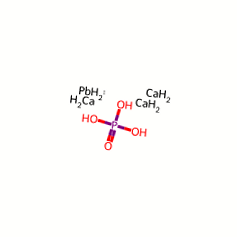 O=P(O)(O)O.[CaH2].[CaH2].[CaH2].[PbH2]